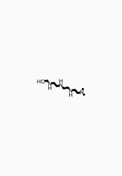 CN(C)CCNCCNCCNCO